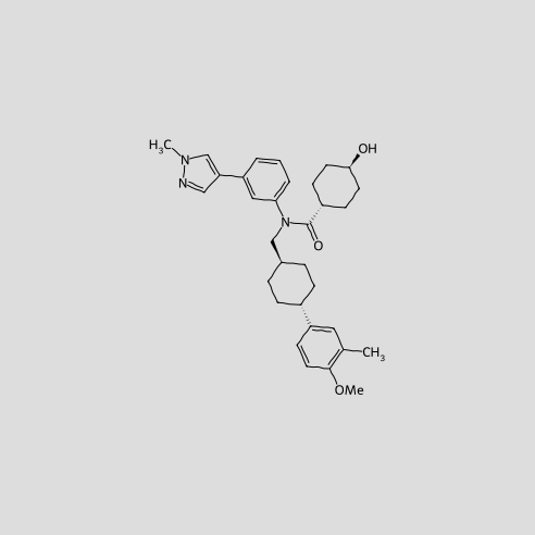 COc1ccc([C@H]2CC[C@H](CN(c3cccc(-c4cnn(C)c4)c3)C(=O)[C@H]3CC[C@H](O)CC3)CC2)cc1C